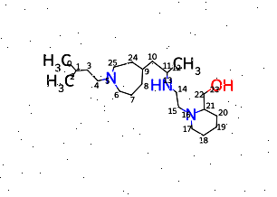 CC(C)CCN1CCCC(CC(C)NCCN2CCCCC2CO)CC1